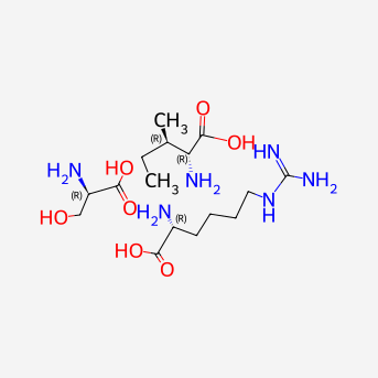 CC[C@@H](C)[C@@H](N)C(=O)O.N=C(N)NCCCC[C@@H](N)C(=O)O.N[C@H](CO)C(=O)O